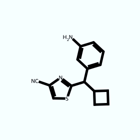 N#Cc1csc(C(c2cccc(N)c2)C2CCC2)n1